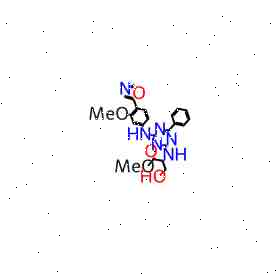 COC(=O)C(CO)Nc1nc(Nc2ccc(-c3cnco3)c(OC)c2)nc(-c2ccccc2)n1